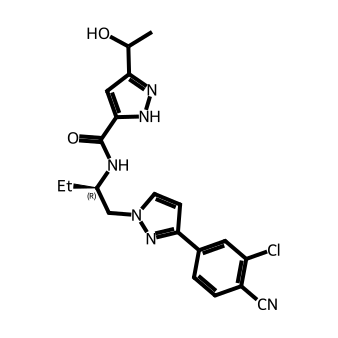 CC[C@H](Cn1ccc(-c2ccc(C#N)c(Cl)c2)n1)NC(=O)c1cc(C(C)O)n[nH]1